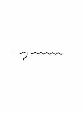 CCCCCCCCCCCCON(CCC)CCO